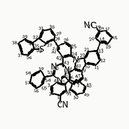 N#Cc1cccc(-c2ccc3c4ccc(-c5cccc(C#N)c5)cc4n(-c4ccc(-c5cccc6c5sc5ccccc56)cc4-c4nc(-c5ccccc5)nc(-c5ccccc5)n4)c3c2)c1